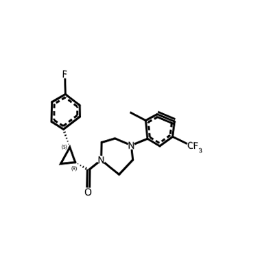 Cc1c#cc(C(F)(F)F)cc1N1CCN(C(=O)[C@@H]2C[C@@H]2c2ccc(F)cc2)CC1